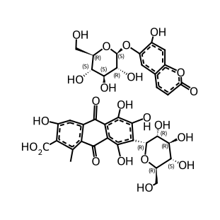 Cc1c(C(=O)O)c(O)cc2c1C(=O)c1c(O)c([C@H]3O[C@H](CO)[C@@H](O)[C@H](O)[C@H]3O)c(O)c(O)c1C2=O.O=c1ccc2cc(O[C@@H]3O[C@H](CO)[C@@H](O)[C@H](O)[C@H]3O)c(O)cc2o1